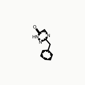 O=c1cnc(Cc2ccccc2)n[nH]1